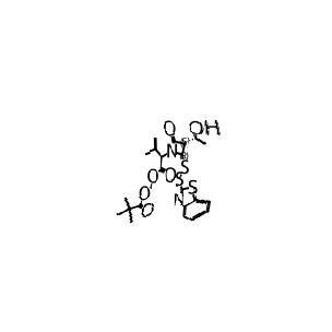 C=C(C)C(C(=O)OCOC(=O)C(C)(C)C)N1C(=O)[C@H](C(C)O)[C@H]1SSc1nc2ccccc2s1